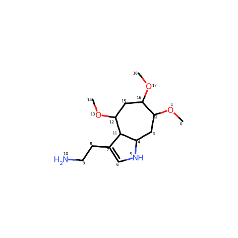 COC1CC2NC=C(CCN)C2C(OC)CC1OC